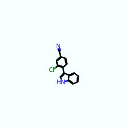 N#Cc1ccc(-c2c[nH]c3ccccc23)c(Cl)c1